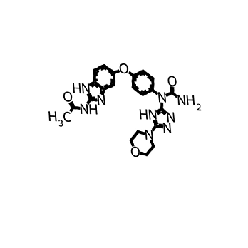 CC(=O)Nc1nc2cc(Oc3ccc(N(C(N)=O)c4nnc(N5CCOCC5)[nH]4)cc3)ccc2[nH]1